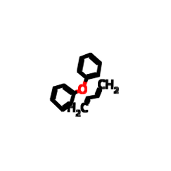 C=CC=C.c1ccc(Oc2ccccc2)cc1